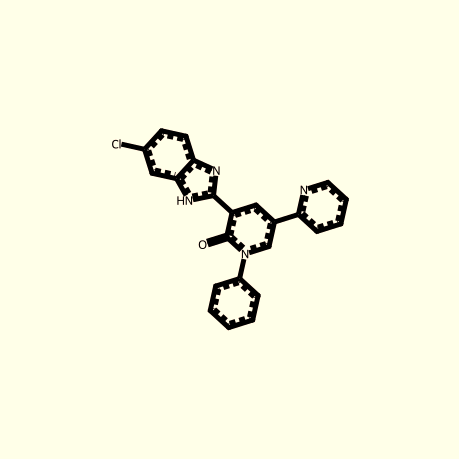 O=c1c(-c2nc3ccc(Cl)cc3[nH]2)cc(-c2ccccn2)cn1-c1ccccc1